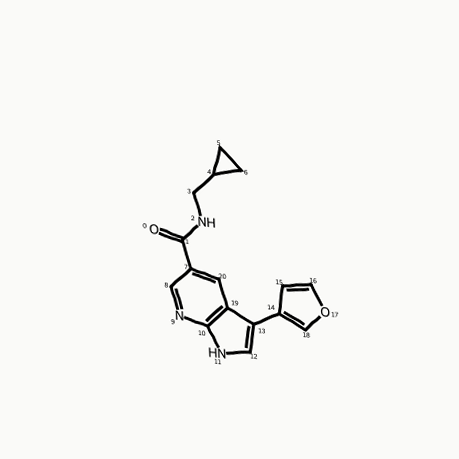 O=C(NCC1CC1)c1cnc2[nH]cc(-c3ccoc3)c2c1